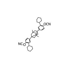 CC12CC3(C)CC(c4ccc(OC#N)c(C5CCCCC5)c4)(C1)CC(c1ccc(OC#N)c(C4CCCCC4)c1)(C2)C3